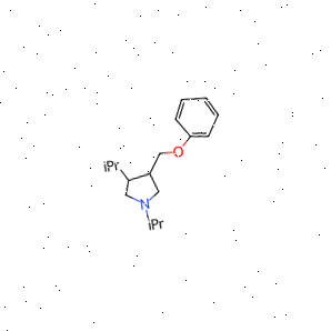 CC(C)C1CN(C(C)C)CC1COc1ccccc1